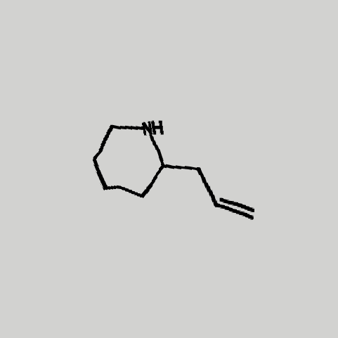 C=CCC1CCCCN1